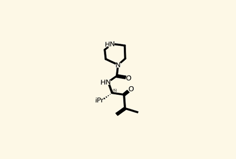 C=C(C)C(=O)[C@@H](NC(=O)N1CCNCC1)C(C)C